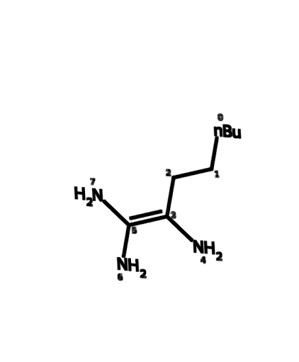 CCCCCCC(N)=C(N)N